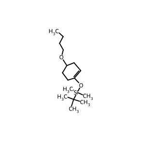 CCCCOC1CC=C(O[Si](C)(C)C(C)(C)C)CC1